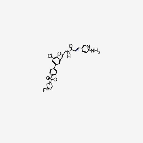 Nc1ccc(/C=C/C(=O)NCc2cc3cc(-c4ccc(S(=O)(=O)N5CC[C@H](F)C5)cc4)cc(Cl)c3o2)cn1